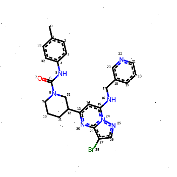 Cc1ccc(NC(=O)N2CCCC(c3cc(NCc4cccnc4)n4ncc(Br)c4n3)C2)cc1